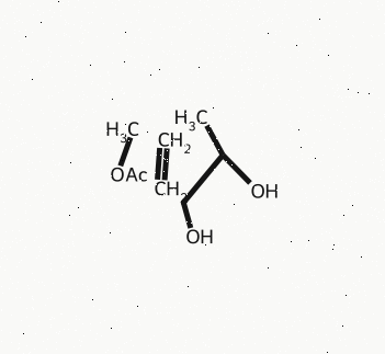 C=C.CC(O)CO.COC(C)=O